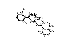 Cc1cccc(C)c1C(N)C[N](CC(N)c1c(C)cccc1C)[Co]([Cl])[Cl]